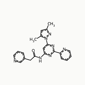 Cc1cc(C)n(-c2cc(NC(=O)Cc3cccnc3)nc(-c3ccccn3)n2)n1